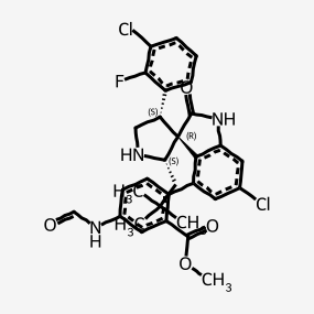 COC(=O)c1cc(NC=O)ccc1-c1cc(Cl)cc2c1[C@@]1(C(=O)N2)[C@H](CC(C)(C)C)NC[C@@H]1c1cccc(Cl)c1F